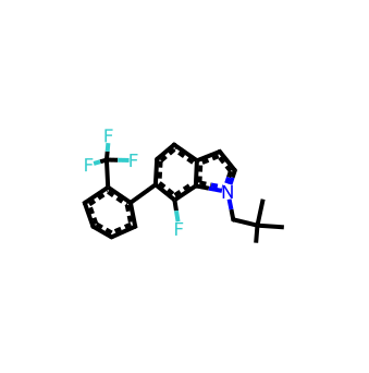 CC(C)(C)Cn1ccc2ccc(-c3ccccc3C(F)(F)F)c(F)c21